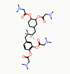 C[C@H](Cc1ccc(OC(=O)CN(C)C)c(OC(=O)CN(C)C)c1)[C@@H](C)CC1CCC(OC(=O)CN(C)C)C(OC(=O)CN(C)C)C1